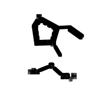 C=Cc1nccn1C.CCCCOS(=O)(=O)O